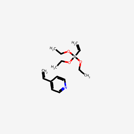 C=C[Si](OCC)(OCC)OCC.C=Cc1ccncc1